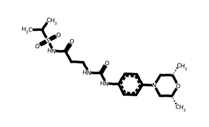 CC(C)S(=O)(=O)NC(=O)CCNC(=O)Nc1ccc(N2C[C@@H](C)O[C@@H](C)C2)cc1